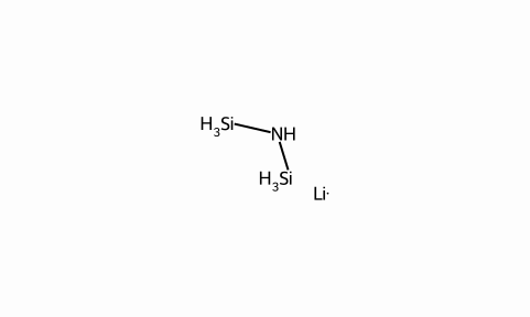 [Li].[SiH3]N[SiH3]